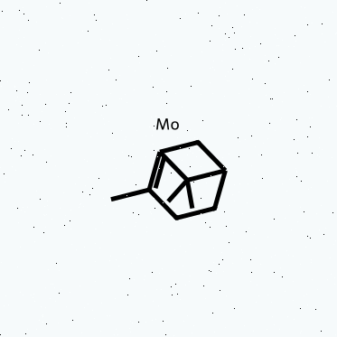 CC1=C2CC(CC1)C2(C)C.[Mo]